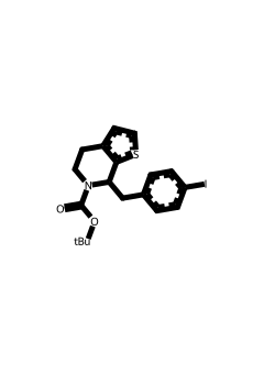 CC(C)(C)OC(=O)N1CCc2ccsc2C1Cc1ccc(I)cc1